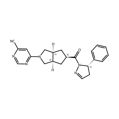 N#Cc1cc(N2C[C@H]3C[C@@H](C(=O)N4N=CC[C@H]4c4ccccc4)C[C@H]3C2)ncn1